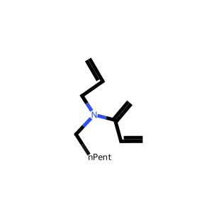 C=CCN(CCCCCC)C(=C)C=C